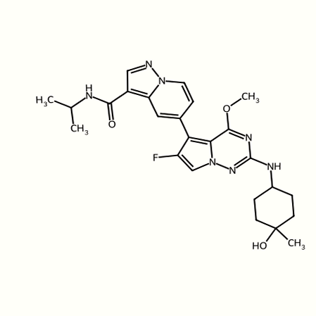 COc1nc(NC2CCC(C)(O)CC2)nn2cc(F)c(-c3ccn4ncc(C(=O)NC(C)C)c4c3)c12